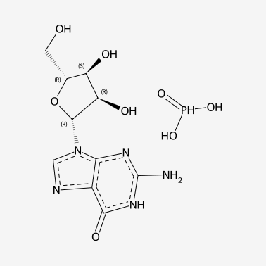 Nc1nc2c(ncn2[C@@H]2O[C@H](CO)[C@@H](O)[C@H]2O)c(=O)[nH]1.O=[PH](O)O